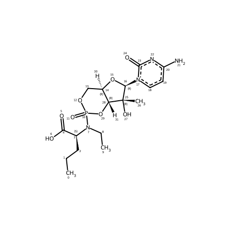 CCC[C@@H](C(=O)O)N(CC)P1(=O)OC[C@H]2O[C@@H](n3ccc(N)nc3=O)[C@](C)(O)[C@@H]2O1